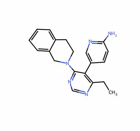 CCc1ncnc(N2CCc3ccccc3C2)c1-c1ccc(N)nc1